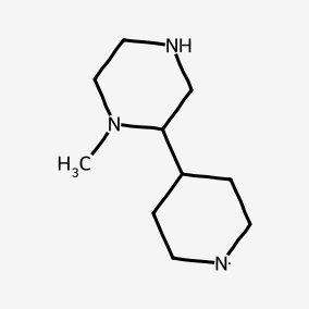 CN1CCNCC1C1CC[N]CC1